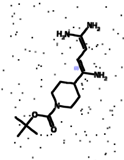 CC(C)(C)OC(=O)N1CCC(/C(N)=C/C=C(N)N)CC1